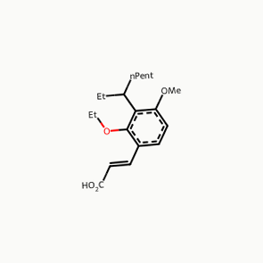 CCCCCC(CC)c1c(OC)ccc(C=CC(=O)O)c1OCC